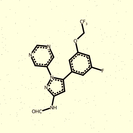 O=CNc1cc(-c2cc(F)cc(OCC(F)(F)F)c2)n(-c2cncnc2)n1